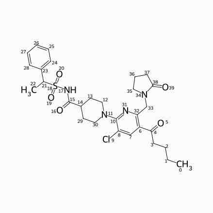 CCCCC(=O)c1cc(Cl)c(N2CCC(C(=O)NS(=O)(=O)C(C)c3ccccc3)CC2)nc1CN1CCCC1=O